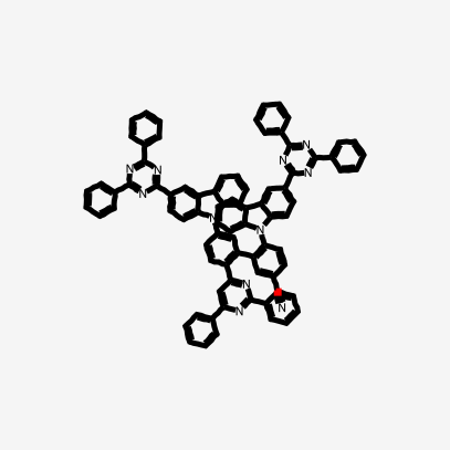 N#Cc1ccc(-n2c3ccccc3c3cc(-c4nc(-c5ccccc5)nc(-c5ccccc5)n4)ccc32)c(-c2cc(-n3c4ccccc4c4cc(-c5nc(-c6ccccc6)nc(-c6ccccc6)n5)ccc43)ccc2-c2cc(-c3ccccc3)nc(-c3ccccc3)n2)c1